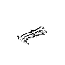 CCCCCCCCCC(=O)OCCCCCCCC.CCCCCCCCCC(=O)OCCCCCCCC.CCCCCCCCCC(=O)OCCCCCCCC